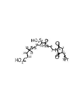 CC(C)SC1CC(=O)N(CCNC(=O)C(CCSSC(C)(C)CCC(=O)O)S(=O)(=O)O)C1=O